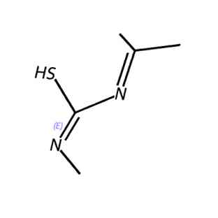 C/N=C(/S)N=C(C)C